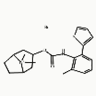 Cc1cccc(-c2cccs2)c1NC(=O)OC1CC2CCC(C1)[N+]2(C)C.[Br-]